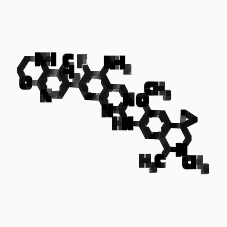 COc1cc2c(cc1Nc1ncc3c(N)c(F)c(-c4cnc5c(c4C)NCCO5)cc3n1)C(C)N(C)CC21CC1